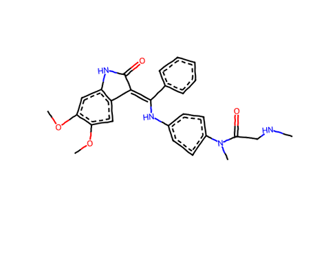 CNCC(=O)N(C)c1ccc(NC(=C2C(=O)Nc3cc(OC)c(OC)cc32)c2ccccc2)cc1